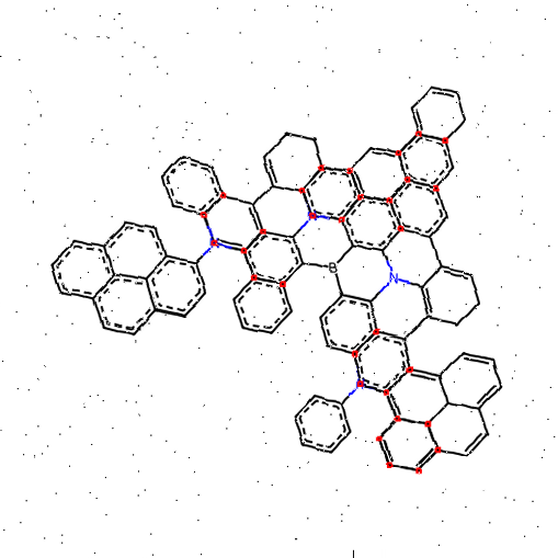 C1=CCCC(C2=CC(C3CCC=C(C4=CC(c5ccccc5)=CCC4)C3N3c4cc(N(c5ccccc5)c5ccc6ccc7cccc8ccc5c6c78)ccc4B4c5ccc(N(C6=C7C=CC=C8C=CC9=CC=CC(=C6)C9C87)c6ccccc6)cc5N(C5=C(c6cccc(C7C=CC=CC7)c6)CCC=C5c5cccc(-c6ccccc6)c5)c5cc(-c6ccccc6)cc3c54)=CCC2)=C1